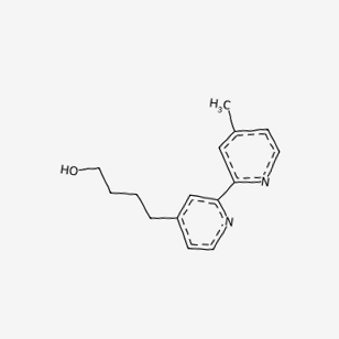 Cc1ccnc(-c2cc(CCCCO)ccn2)c1